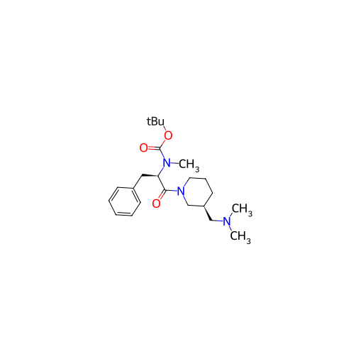 CN(C)C[C@@H]1CCCN(C(=O)[C@@H](Cc2ccccc2)N(C)C(=O)OC(C)(C)C)C1